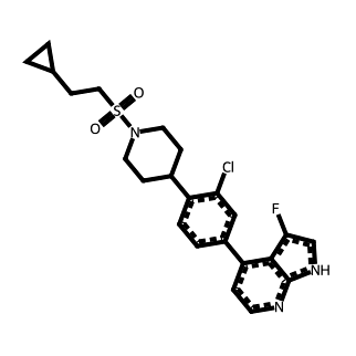 O=S(=O)(CCC1CC1)N1CCC(c2ccc(-c3ccnc4[nH]cc(F)c34)cc2Cl)CC1